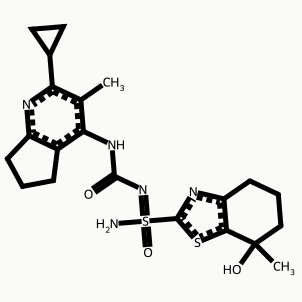 Cc1c(C2CC2)nc2c(c1NC(=O)N=S(N)(=O)c1nc3c(s1)C(C)(O)CCC3)CCC2